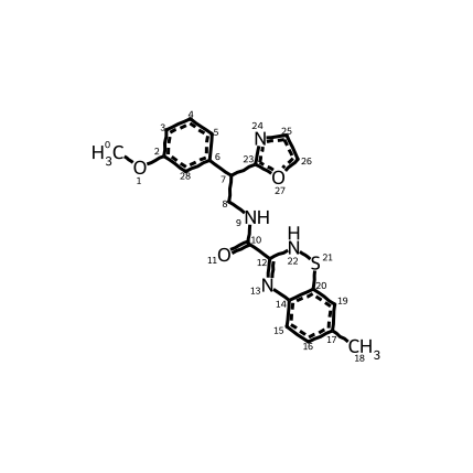 COc1cccc(C(CNC(=O)C2=Nc3ccc(C)cc3SN2)c2ncco2)c1